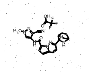 Cn1cc(NC(=O)c2ccc3ccc(N4CC5CCC4CN5)nn23)c(C#N)n1.O=C(O)C(F)(F)F